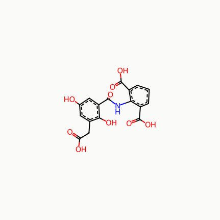 O=C(O)Cc1cc(O)cc(C(=O)Nc2c(C(=O)O)cccc2C(=O)O)c1O